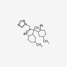 CC1CCC(C(C)C)C(C(C)(C(=O)Cn2cncn2)C2CC(C)CCC2C(C)C)C1